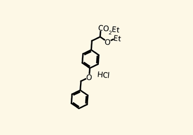 CCOC(=O)C(Cc1ccc(OCc2ccccc2)cc1)OCC.Cl